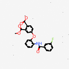 COC(=O)c1ccc(Oc2ccccc2NC(=O)c2cccc(F)c2)cc1C(=O)OC